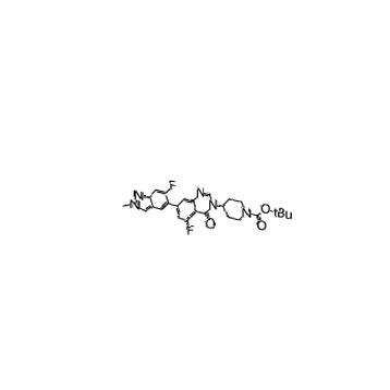 Cn1cc2cc(-c3cc(F)c4c(=O)n(C5CCN(C(=O)OC(C)(C)C)CC5)cnc4c3)c(F)cc2n1